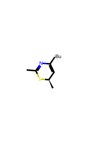 CCC(C)C1=C[C@@H](C)SC(C)=N1